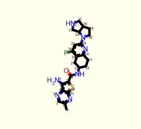 Cc1cnc2c(N)c(C(=O)NC3CCc4nc(N5CCC6CNCC65)cc(F)c4C3)sc2n1